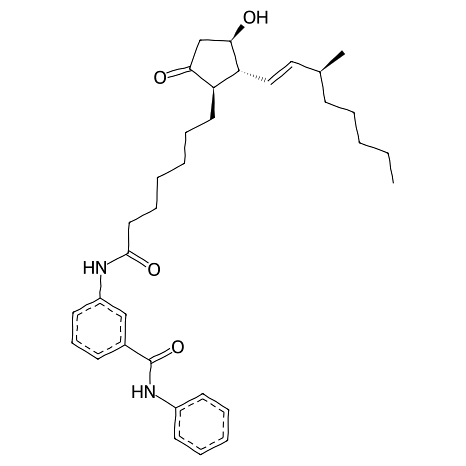 CCCCC[C@H](C)/C=C/[C@H]1[C@H](O)CC(=O)[C@@H]1CCCCCCC(=O)Nc1cccc(C(=O)Nc2ccccc2)c1